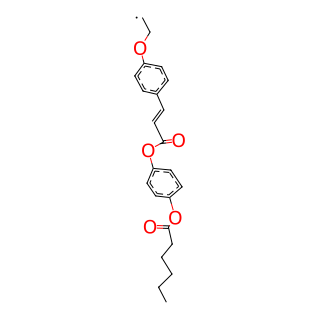 [CH2]COc1ccc(/C=C/C(=O)Oc2ccc(OC(=O)CCCCC)cc2)cc1